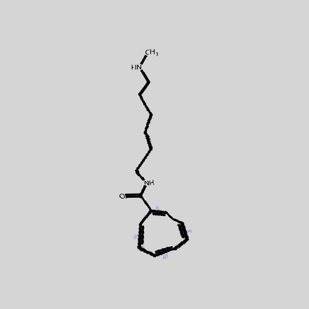 CNCCCCCCNC(=O)C1=C/C=C\C=C/C=C\1